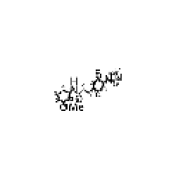 COc1cccc(NC(=O)/C=C/c2ccc(-n3ccnc3)c(F)c2)c1